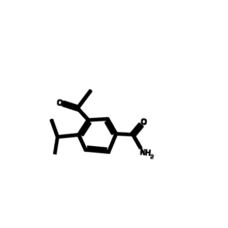 CC(=O)c1cc(C(N)=O)ccc1C(C)C